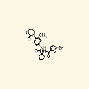 Cc1cc(NC(=O)C2(NC(=O)c3ccc(Br)s3)CCCC2)ccc1N1CCCOC1=O